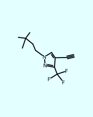 C#Cc1cn(CCC(C)(C)C)nc1C(F)(F)F